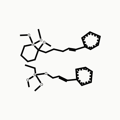 CC[Si](OC)(OC)OCC=Cc1ccccc1.COC1(CCCC=Cc2ccccc2)CCCC[Si]1(OC)OC